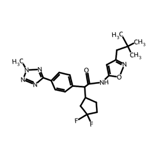 Cn1nnc(-c2ccc(C(C(=O)Nc3cc(CC(C)(C)C)no3)C3CCC(F)(F)C3)cc2)n1